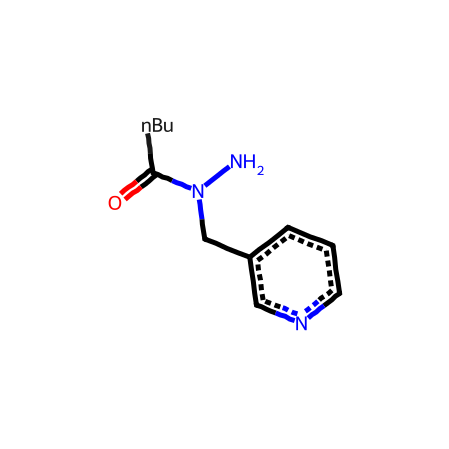 CCCCC(=O)N(N)Cc1cccnc1